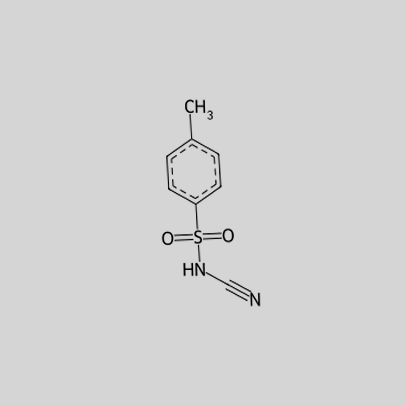 Cc1ccc(S(=O)(=O)NC#N)cc1